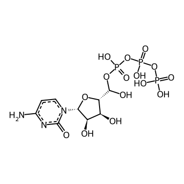 Nc1ccn([C@@H]2O[C@H](C(O)OP(=O)(O)OP(=O)(O)OP(=O)(O)O)[C@@H](O)[C@H]2O)c(=O)n1